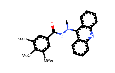 COc1cc(C(=O)NN(C)c2c3ccccc3nc3ccccc23)cc(OC)c1OC